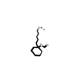 CCCCCCC1(OC=O)CCCCC1